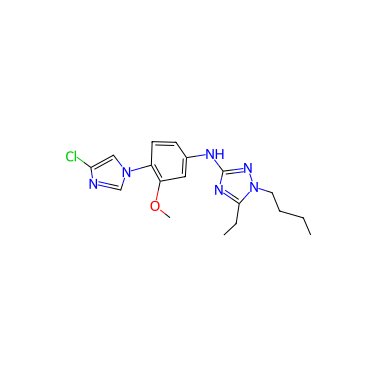 CCCCn1nc(Nc2ccc(-n3cnc(Cl)c3)c(OC)c2)nc1CC